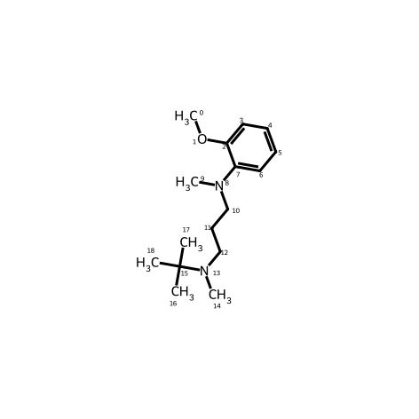 COc1ccccc1N(C)CCCN(C)C(C)(C)C